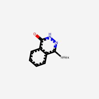 CCCCCCc1n[nH]c(=O)c2ccccc12